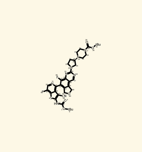 CC(C)(C)OC(=O)Nc1sc2c(F)cnc(-c3c4c(c5cnc(N6CC[C@@H](N7CCN(C(=O)OC(C)(C)C)CC7)C6)nc5c3F)COC4)c2c1C#N